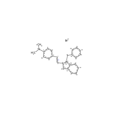 CN(C)c1ccc(/C=C/c2sc3ccccc3[n+]2Cc2ccccc2)cc1.[Br-]